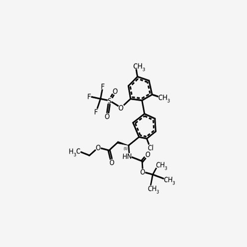 CCOC(=O)C[C@H](NC(=O)OC(C)(C)C)c1cc(-c2c(C)cc(C)cc2OS(=O)(=O)C(F)(F)F)ccc1Cl